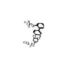 CCOC(=O)N1CCC2(CC1)OCc1cc(-c3ccccc3OCC(N)=O)ccc1O2